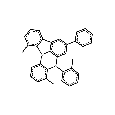 Cc1ccccc1N1c2cc(-c3ccccc3)cc3c2B(c2cccc(C)c21)c1c(C)cccc1-3